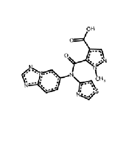 Cn1ncc(C(=O)O)c1C(=O)N(c1ccc2ncnn2c1)c1cscn1